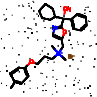 Cc1ccc(OCCC[N+](C)(C)Cc2cnc([C@](O)(c3ccccc3)C3CCCCC3)o2)cc1.[Br-]